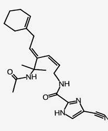 CC(=O)NC(C)(C)C(/C=C\CNC(=O)c1nc(C#N)c[nH]1)=C/CC1=CCCCC1